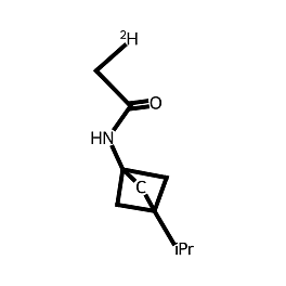 [2H]CC(=O)NC12CC(C(C)C)(C1)C2